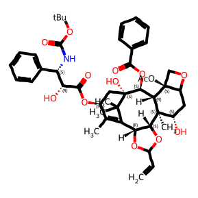 C=CC1O[C@@H]2C3=C(C)[C@@H](OC(=O)[C@H](O)[C@@H](NC(=O)OC(C)(C)C)c4ccccc4)C[C@@](O)([C@@H](OC(=O)c4ccccc4)[C@H]4[C@](C)([C@@H]2O1)[C@@H](O)CC1OC[C@]14OC(C)=O)C3(C)C